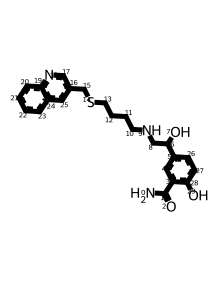 NC(=O)c1cc(C(O)CNCCCCSCc2cnc3ccccc3c2)ccc1O